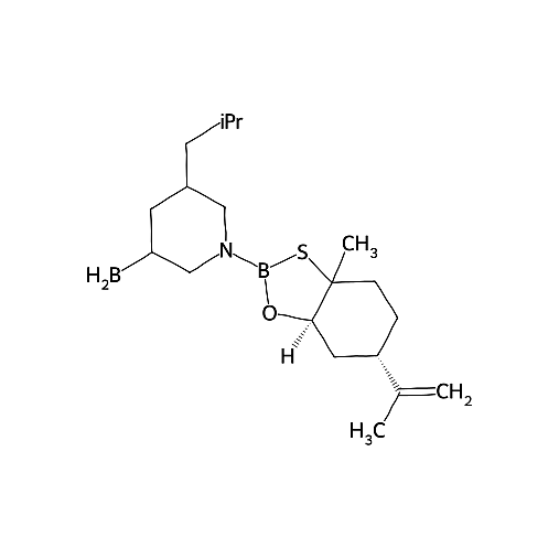 BC1CC(CC(C)C)CN(B2O[C@@H]3C[C@@H](C(=C)C)CCC3(C)S2)C1